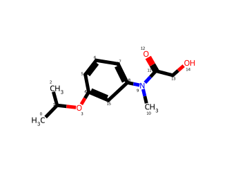 CC(C)Oc1cccc(N(C)C(=O)CO)c1